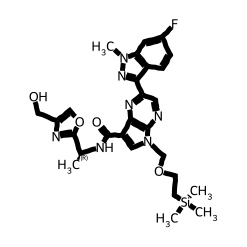 C[C@@H](NC(=O)c1cn(COCC[Si](C)(C)C)c2ncc(-c3nn(C)c4cc(F)ccc34)nc12)c1nc(CO)co1